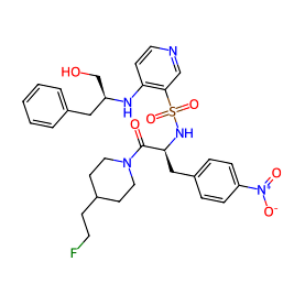 O=C([C@H](Cc1ccc([N+](=O)[O-])cc1)NS(=O)(=O)c1cnccc1N[C@H](CO)Cc1ccccc1)N1CCC(CCF)CC1